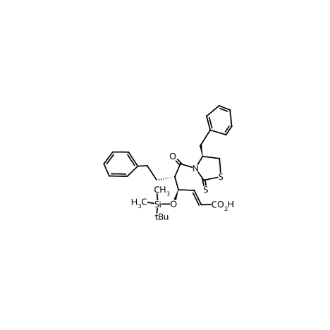 CC(C)(C)[Si](C)(C)O[C@H](/C=C/C(=O)O)[C@H](CCc1ccccc1)C(=O)N1C(=S)SC[C@@H]1Cc1ccccc1